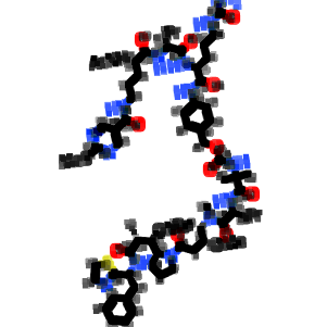 CC[C@H](C)[C@@H]([C@@H](CC(=O)N1CCC[C@H]1[C@H](OC)[C@@H](C)C(=O)N[C@@H](Cc1ccccc1)c1nccs1)OC)N(C)C(=O)[C@@H](NC(=O)C(C)(C)NC(=O)OCc1ccc(NC(=O)[C@H](CCCNC(N)=O)NC(=O)[C@@H](NC(=O)[C@H](CCCNC(=O)c2cnc(SC)nc2)NC(C)=O)C(C)C)cc1)C(C)C